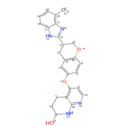 OC1CCc2c(Oc3ccc4c(c3)CC(c3nc5c(C(F)(F)F)cccc5[nH]3)CO4)ccnc2N1